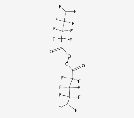 O=C(OOC(=O)C(F)(F)C(F)(F)C(F)(F)C(F)F)C(F)(F)C(F)(F)C(F)(F)C(F)F